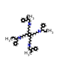 C\C=C/C=C(\C=N\CCCCCc1cc(CCCCC/N=C/C=C\C(=C/C)Cc2ccccc2)c(CCCCC/N=C/C(=C\C=C/C)Cc2ccccc2)cc1CCCCC/N=C/C=C\C(=C/C)Cc1ccccc1)Cc1ccccc1